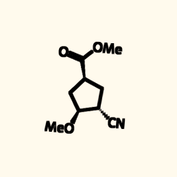 COC(=O)[C@@H]1C[C@H](OC)[C@@H](C#N)C1